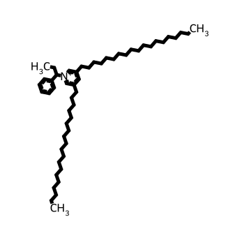 CCCCCCCCCCCCCCCCCCCc1cc(CCCCCCCCCCCCCCCCCCC)c[n+](C(CC)c2ccccc2)c1